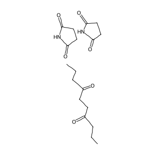 CCCC(=O)CCC(=O)CCC.O=C1CCC(=O)N1.O=C1CCC(=O)N1